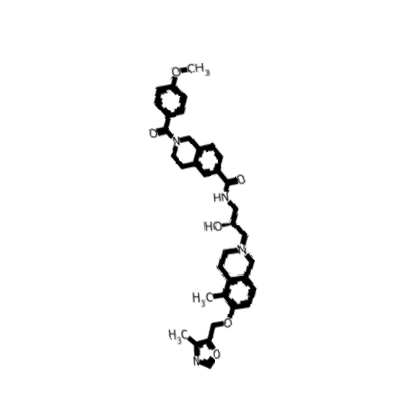 COc1ccc(C(=O)N2CCc3cc(C(=O)NC[C@H](O)CN4CCc5c(ccc(OCc6ocnc6C)c5C)C4)ccc3C2)cc1